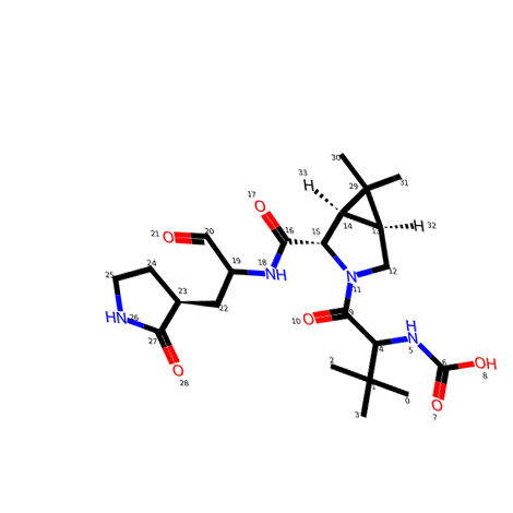 CC(C)(C)C(NC(=O)O)C(=O)N1C[C@H]2[C@@H]([C@H]1C(=O)NC(C=O)C[C@@H]1CCNC1=O)C2(C)C